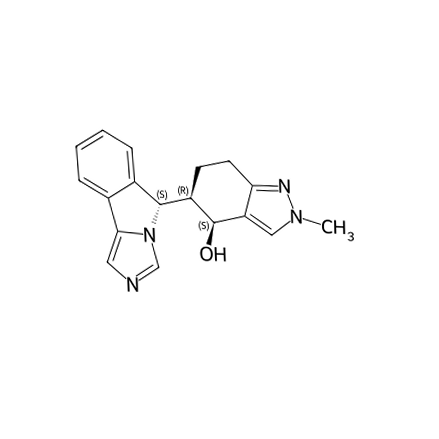 Cn1cc2c(n1)CC[C@H]([C@H]1c3ccccc3-c3cncn31)[C@@H]2O